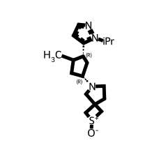 CC1C[C@@H](N2CCC3(C2)C[S+]([O-])C3)C[C@H]1c1ccnn1C(C)C